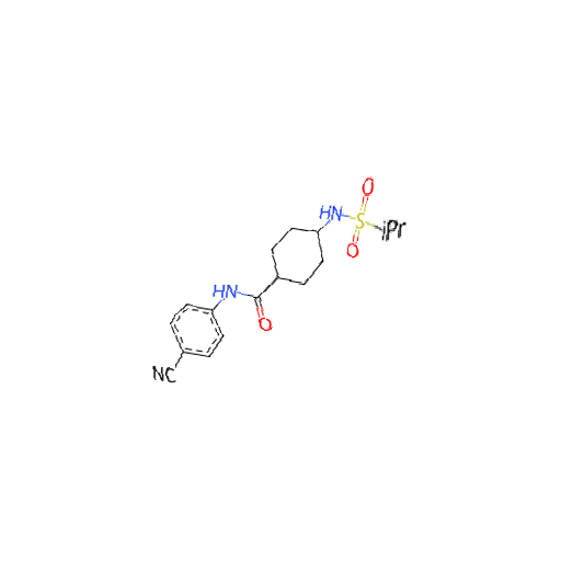 CC(C)S(=O)(=O)NC1CCC(C(=O)Nc2ccc(C#N)cc2)CC1